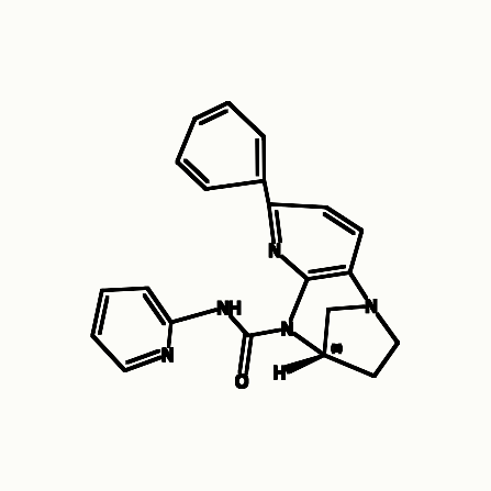 O=C(Nc1ccccn1)N1c2nc(-c3ccccc3)ccc2N2CC[C@H]1C2